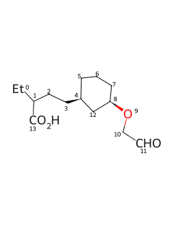 CCC(CC[C@H]1CCC[C@@H](OCC=O)C1)C(=O)O